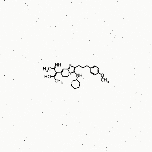 COc1ccc(CCCc2nc3cc(/C(C(C)=N)=C(\C)O)ccn3c2NC2CCCCC2)cc1